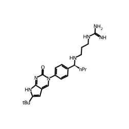 CCC[C@H](NCCCNC(=N)N)c1ccc(-n2cc3cc(C(C)(C)C)[nH]c3nc2=O)cc1